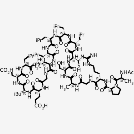 CCCC(=O)[C@H](CC(C)C)NC(=O)[C@H](CC(=O)O)NC(=O)[C@@H](NC(=O)[C@H](CCC(=O)O)NC(=O)CNC(=O)[C@@H](NC(=O)[C@H](CC(C)C)NC(=O)[C@H](CC(C)C)NC(=O)[C@H](CC(C)C)NC(=O)[C@H](CC(C)C)NC(=O)[C@H](CS)NC(=O)[C@H](CO)NC(=O)[C@H](C)NC(=O)CNC(=O)[C@H](CCCNC(=N)N)NC(=O)[C@@H]1CCCN1C(=O)[C@H](C)NC(C)=O)[C@@H](C)O)[C@@H](C)CC